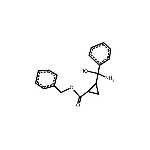 NC(O)(c1ccccc1)C1CC1C(=O)OCc1ccccc1